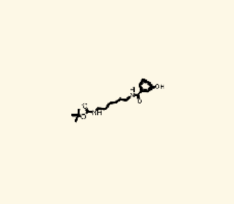 CC(C)(C)OC(=O)NCCCCCCNC(=O)c1cccc(O)c1